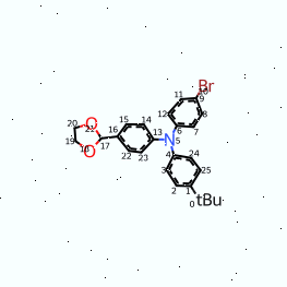 CC(C)(C)c1ccc(N(c2ccc(Br)cc2)c2ccc(C3OCCO3)cc2)cc1